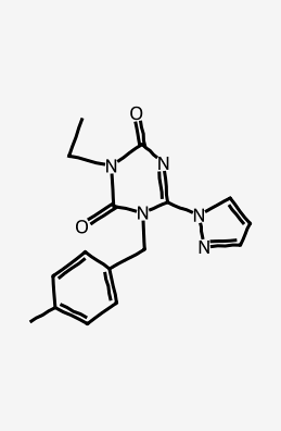 CCn1c(=O)nc(-n2cccn2)n(Cc2ccc(C)cc2)c1=O